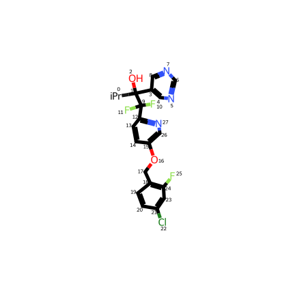 CC(C)C(O)(c1cncnc1)C(F)(F)c1ccc(OCc2ccc(Cl)cc2F)cn1